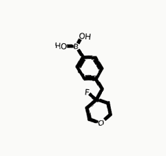 OB(O)c1ccc(CC2(F)CCOCC2)cc1